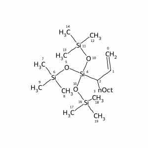 C=CC(CCCCCCCC)[Si](O[Si](C)(C)C)(O[Si](C)(C)C)O[Si](C)(C)C